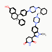 Cn1nc(C2CCC(=O)NC2=O)c2ccc(N3CCN(C[C@H]4CCCC[C@@H]4CN4CCN(c5ccc([C@@H]6c7ccc(O)cc7CC[C@@H]6c6ccccc6)cc5)CC4)CC3)cc21